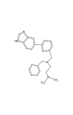 CN(C)CCN(Cc1ccccc1)Cc1cccc(-c2ccc3[nH]cnc3c2)c1